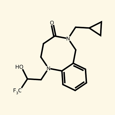 O=C1CCN(CC(O)C(F)(F)F)c2ccccc2CN1CC1CC1